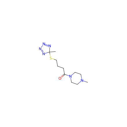 CN1CCN(C(=O)CCCSC2(C)N=NN=N2)CC1